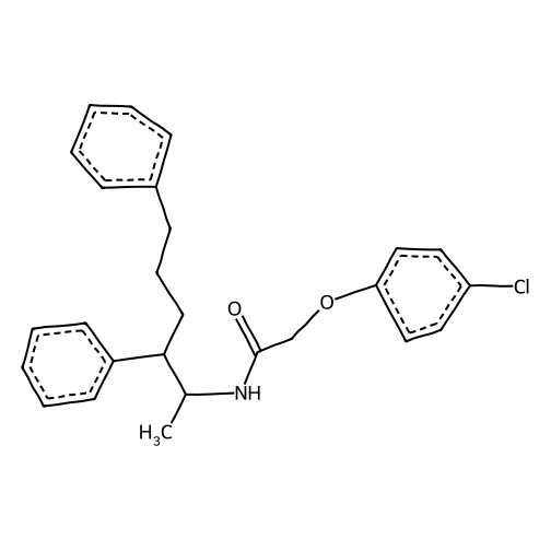 CC(NC(=O)COc1ccc(Cl)cc1)C(CCCc1ccccc1)c1ccccc1